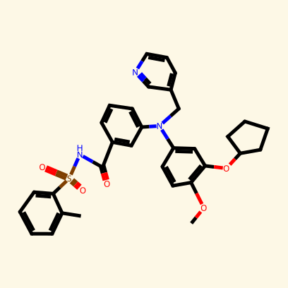 COc1ccc(N(Cc2cccnc2)c2cccc(C(=O)NS(=O)(=O)c3ccccc3C)c2)cc1OC1CCCC1